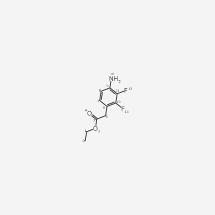 CCOC(=O)Cc1ccc(N)c(F)c1F